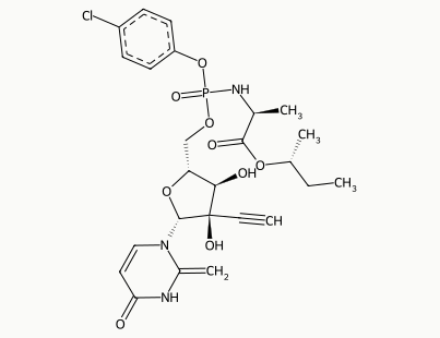 C#C[C@@]1(O)[C@H](O)[C@@H](COP(=O)(N[C@@H](C)C(=O)O[C@H](C)CC)Oc2ccc(Cl)cc2)O[C@H]1N1C=CC(=O)NC1=C